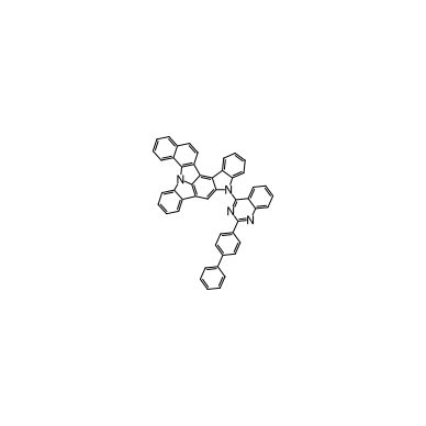 c1ccc(-c2ccc(-c3nc(-n4c5ccccc5c5c6c7ccc8ccccc8c7n7c8ccccc8c(cc54)c67)c4ccccc4n3)cc2)cc1